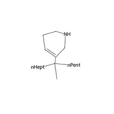 CCCCCCCC(C)(CCCCC)C1=CCCNC1